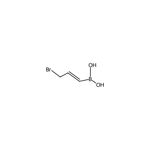 OB(O)C=CCBr